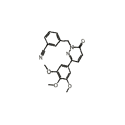 COc1cc(-c2ccc(=O)n(Cc3cccc(C#N)c3)n2)cc(OC)c1OC